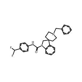 O=C(Nc1ccc(C(F)F)cc1)N1CC2(CCN(Cc3ccccc3)CC2)c2ccccc21